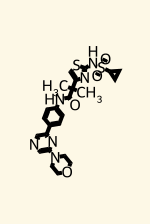 CC(C)(C(=O)Nc1ccc(-c2cncc(N3CCOCC3)n2)cc1)c1csc(NS(=O)(=O)C2CC2)n1